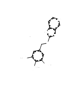 COc1cc(CSc2nc3cnccc3[nH]2)cc(OC)c1OC.Cl